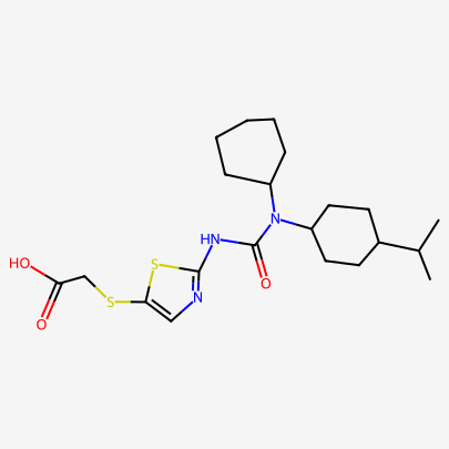 CC(C)C1CCC(N(C(=O)Nc2ncc(SCC(=O)O)s2)C2CCCCC2)CC1